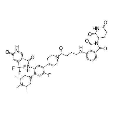 C[C@@H]1CN(c2cc(F)c(C3=CCN(C(=O)CCCNc4cccc5c4C(=O)N(C4CCC(=O)NC4=O)C5=O)CC3)cc2NC(=O)c2c[nH]c(=O)cc2C(F)(F)F)C[C@H](C)N1C